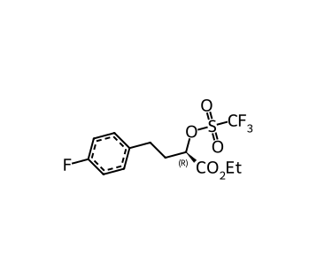 CCOC(=O)[C@@H](CCc1ccc(F)cc1)OS(=O)(=O)C(F)(F)F